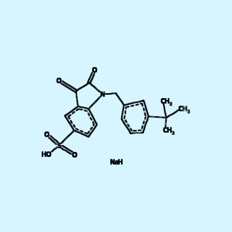 CC(C)(C)c1cccc(CN2C(=O)C(=O)c3cc(S(=O)(=O)O)ccc32)c1.[NaH]